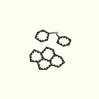 c1cc2ccc3cccc4ccc(c1)c2c34.c1ccc(Nc2ccccc2)cc1